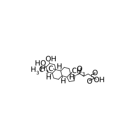 C[C@]12CC(O)[C@@](C)(O)C[C@@H]1CC[C@@H]1[C@@H]2CC[C@]2(C)[C@@H](C(=O)CCS(=O)(=O)O)CC[C@@H]12